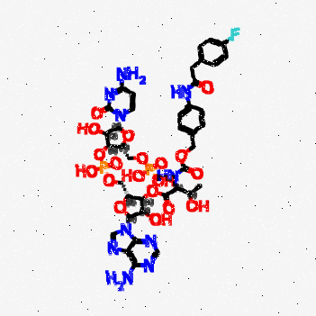 C[C@@H](O)[C@H](NC(=O)OCc1ccc(NC(=O)Cc2ccc(F)cc2)cc1)C(=O)O[C@H]1[C@@H](O)[C@H](n2cnc3c(N)ncnc32)O[C@@H]1COP(=O)(O)O[C@H]1[C@@H](O)[C@H](n2ccc(N)nc2=O)O[C@@H]1COP(=O)(O)O